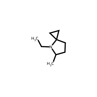 CCN1C(C)CCC12CC2